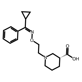 O=C(O)[C@@H]1CCCN(CCON=C(c2ccccc2)C2CC2)C1